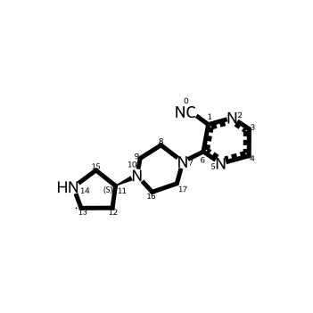 N#Cc1nccnc1N1CCN([C@H]2C[CH]NC2)CC1